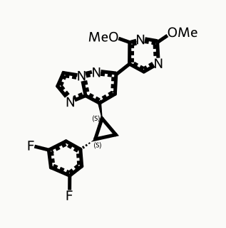 COc1ncc(-c2cc([C@H]3C[C@@H]3c3cc(F)cc(F)c3)c3nccn3n2)c(OC)n1